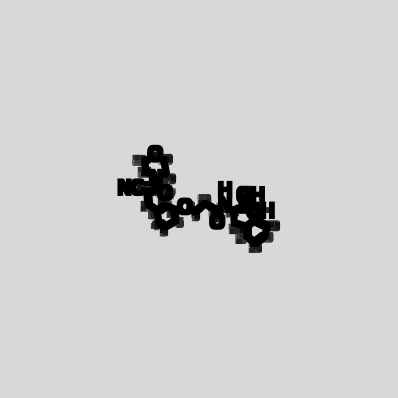 N#CC(=Cc1cccc(OCCC(=O)NC(Cc2ccccc2)B(O)O)c1)C(=O)N1CCOCC1